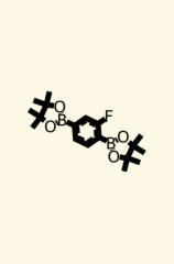 CC1(C)OB(c2ccc(B3OC(C)(C)C(C)(C)O3)c(F)c2)OC1(C)C